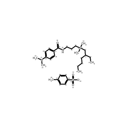 CCCCC(CC)C[N+](C)(C)CCCNC(=O)c1ccc(N(C)C)cc1.Cc1ccc(S(=O)(=O)[O-])cc1